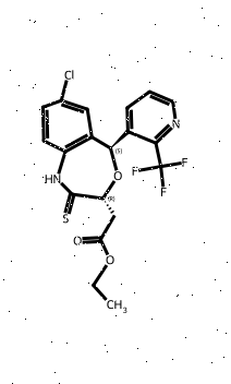 CCOC(=O)C[C@H]1O[C@H](c2cccnc2C(F)(F)F)c2cc(Cl)ccc2NC1=S